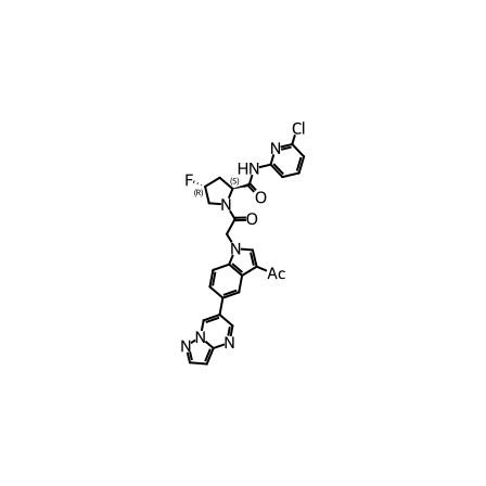 CC(=O)c1cn(CC(=O)N2C[C@H](F)C[C@H]2C(=O)Nc2cccc(Cl)n2)c2ccc(-c3cnc4ccnn4c3)cc12